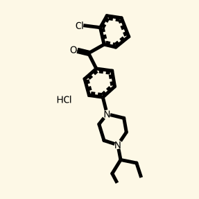 CCC(CC)N1CCN(c2ccc(C(=O)c3ccccc3Cl)cc2)CC1.Cl